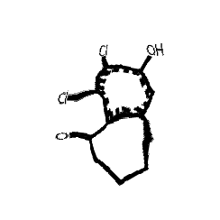 O=C1CCCCc2cc(O)c(Cl)c(Cl)c21